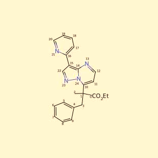 CCOC(=O)C(C)(Cc1ccccc1)c1ccnc2c(-c3ccccn3)cnn12